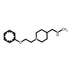 CNCC1CCN(CCOc2ccccc2)CC1